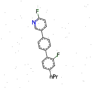 CCCc1ccc(-c2ccc(-c3ccc(F)nc3)cc2)c(F)c1